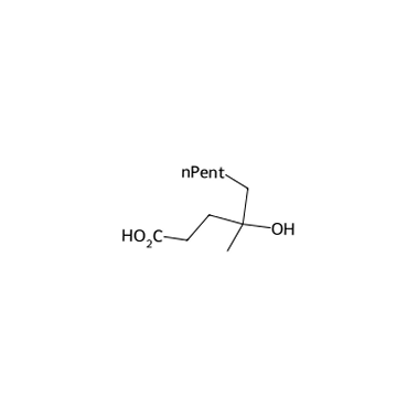 CCCCCCC(C)(O)CCC(=O)O